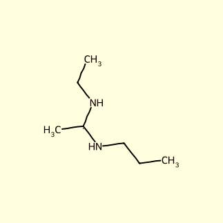 CCCN[C](C)NCC